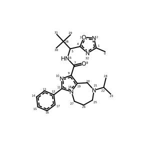 Cc1noc(C(NC(=O)c2nc(-c3ccccc3)n3c2CN(C(C)C)CCC3)C(C)(C)C)n1